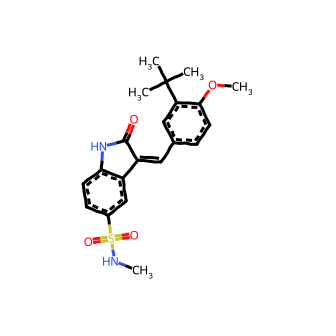 CNS(=O)(=O)c1ccc2c(c1)C(=Cc1ccc(OC)c(C(C)(C)C)c1)C(=O)N2